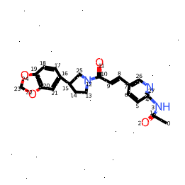 CC(=O)Nc1ccc(/C=C/C(=O)N2CCC(c3ccc4c(c3)OCO4)C2)cn1